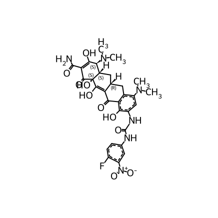 CN(C)c1cc(NC(=O)Nc2ccc(F)c([N+](=O)[O-])c2)c(O)c2c1C[C@H]1C[C@H]3[C@H](N(C)C)C(O)=C(C(N)=O)C(=O)[C@@]3(O)C(O)=C1C2=O